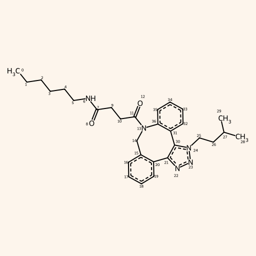 CCCCCCNC(=O)CCC(=O)N1Cc2ccccc2-c2nnn(CCC(C)C)c2-c2ccccc21